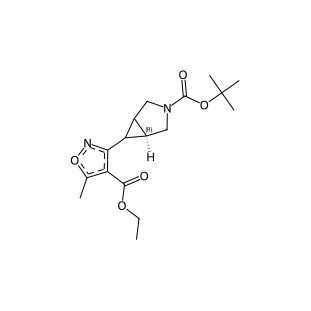 CCOC(=O)c1c(C2C3CN(C(=O)OC(C)(C)C)C[C@H]32)noc1C